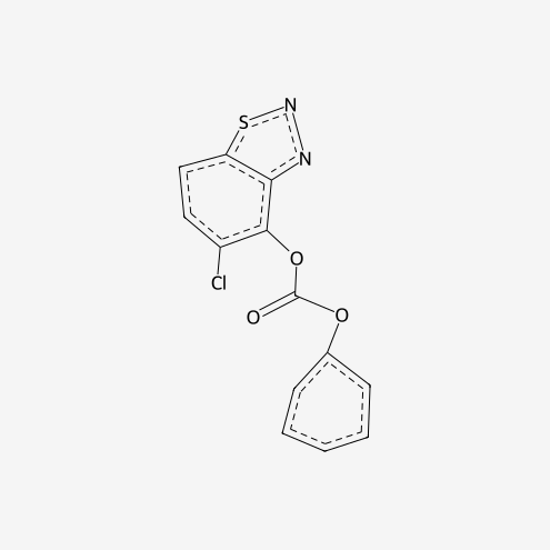 O=C(Oc1ccccc1)Oc1c(Cl)ccc2snnc12